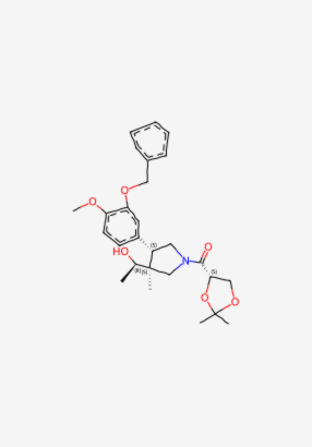 COc1ccc([C@@H]2CN(C(=O)[C@@H]3COC(C)(C)O3)C[C@@]2(C)[C@@H](C)O)cc1OCc1ccccc1